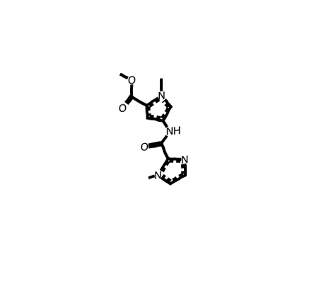 COC(=O)c1cc(NC(=O)c2nccn2C)cn1C